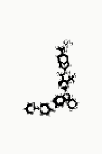 CNC(=O)C1CC2CC(CC(NC(=O)c3cnc(N4CC5(CCOCC5)c5cc(OC6CCN(c7ncccn7)CC6)ccc54)nc3C(F)(F)F)C2)C1